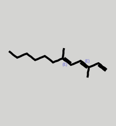 C=C/C(C)=C/C=C(\C)CCCCCC